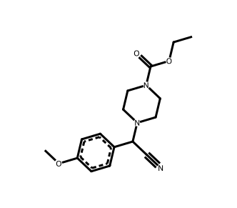 CCOC(=O)N1CCN(C(C#N)c2ccc(OC)cc2)CC1